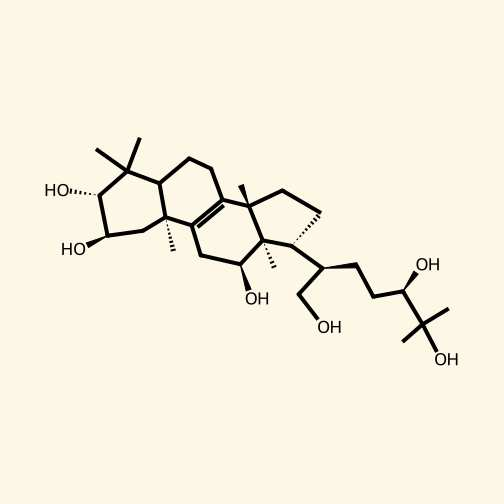 CC(C)(O)[C@H](O)CC[C@@H](CO)[C@H]1CC[C@@]2(C)C3=C(C[C@H](O)[C@]12C)[C@@]1(C)C[C@@H](O)[C@H](O)C(C)(C)C1CC3